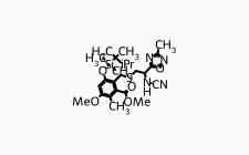 COC(=O)c1c(C)c(OC)cc(O[Si](C)(C)C(C)(C)C(C)C)c1CSCC(NC#N)c1nc(C)no1